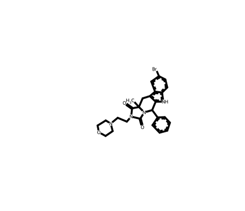 CC12Cc3c([nH]c4ccc(Br)cc34)C(c3ccccc3)N1C(=O)N(CCN1CCOCC1)C2=O